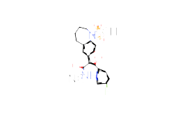 CS(=O)(=O)N1CCCCc2cc3c(C(=O)NC#N)c(-c4ccc(F)cc4)oc3cc21